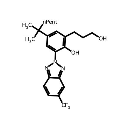 CCCCCC(C)(C)c1cc(CCCO)c(O)c(-n2nc3ccc(C(F)(F)F)cc3n2)c1